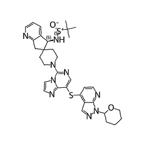 CC(C)(C)[S@@+]([O-])N[C@@H]1c2cccnc2CC12CCN(c1ncc(Sc3ccnc4c3cnn4C3CCCCO3)c3nccn13)CC2